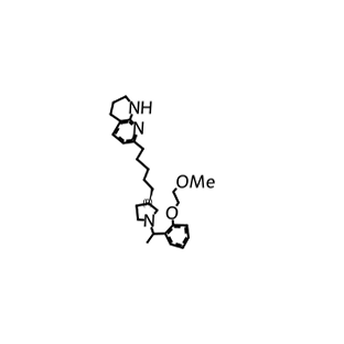 COCCOc1ccccc1C(C)N1CC[C@@H](CCCCCc2ccc3c(n2)NCCC3)C1